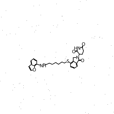 O=C1CCC(N2Cc3c(SCCCCCCCCNc4cccc5ccoc45)cccc3C2=O)C(=O)N1